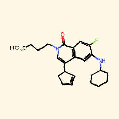 O=C(O)CCCn1cc(C2C=CCC2)c2cc(NC3CCCCC3)c(F)cc2c1=O